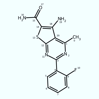 Cc1nc(-c2ccccc2F)nc2sc(C(N)=O)c(N)c12